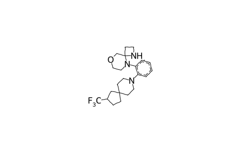 FC(F)(F)C1CCC2(CCN(c3ccc[c]c3N3CCOCC34CCN4)CC2)C1